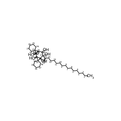 CCCCCCCCCCCCCCCC(=O)[C@]1(O)[C@H](O)[C@]2(O)C3(CCCCC3)[C@@]2(O)[C@@]2(O)C3(CCCCC3)[C@]21O